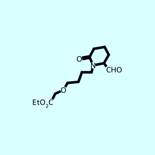 CCOC(=O)COCCCCN1C(=O)CCCC1C=O